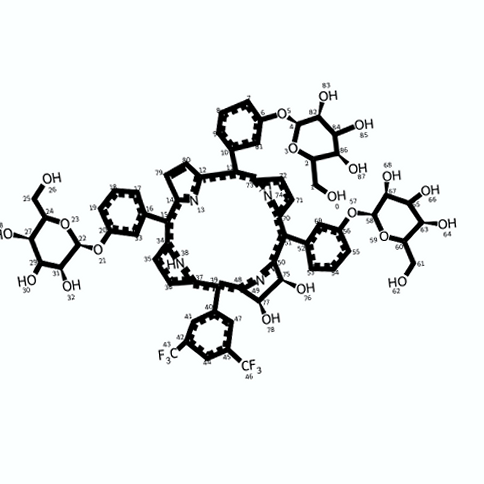 OCC1O[C@@H](Oc2cccc(-c3c4nc(c(-c5cccc(O[C@@H]6OC(CO)[C@H](O)C(O)[C@@H]6O)c5)c5ccc([nH]5)c(-c5cc(C(F)(F)F)cc(C(F)(F)F)c5)c5nc(c(-c6cccc(O[C@@H]7OC(CO)[C@H](O)C(O)[C@@H]7O)c6)c6ccc3[nH]6)[C@@H](O)[C@H]5O)C=C4)c2)[C@@H](O)C(O)[C@H]1O